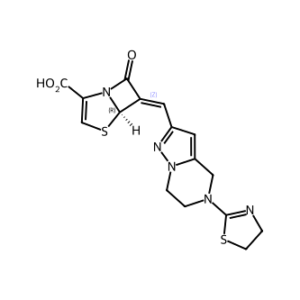 O=C(O)C1=CS[C@@H]2/C(=C\c3cc4n(n3)CCN(C3=NCCS3)C4)C(=O)N12